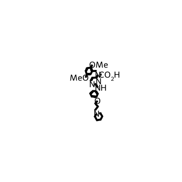 COc1ccc(OC)c(CN(C(=O)O)c2ccnc(Nc3cccc(OCCCN4CCCCC4)c3)n2)c1